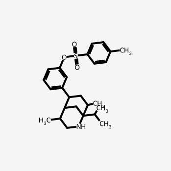 Cc1ccc(S(=O)(=O)Oc2cccc(C3CC(C)C4(C(C)C)CC3C(C)CN4)c2)cc1